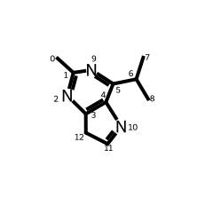 Cc1nc2c(c(C(C)C)n1)N=CC2